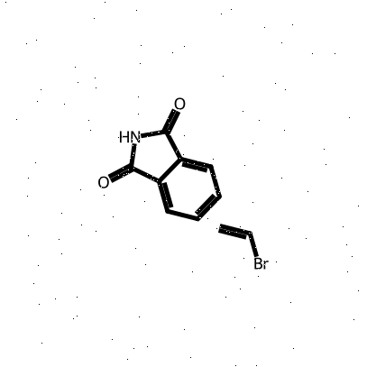 C=CBr.O=C1NC(=O)c2ccccc21